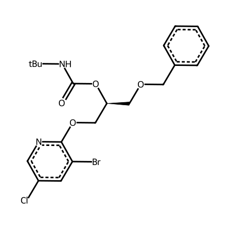 CC(C)(C)NC(=O)O[C@@H](COCc1ccccc1)COc1ncc(Cl)cc1Br